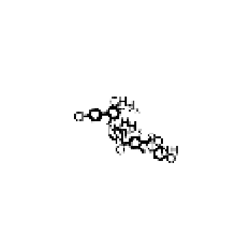 CC1(C)CCC(CN2CCN(C(=O)c3cc4c(cc3F)C(=O)N(C3CCC(=O)NC3=O)C4)CC2(C)C)=C(c2ccc(Cl)cc2)C1